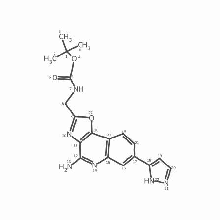 CC(C)(C)OC(=O)NCc1nc2c(N)nc3cc(-c4ccn[nH]4)ccc3c2o1